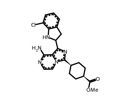 COC(=O)[C@H]1CC[C@@H](c2nc(C3Cc4cccc(Cl)c4N3)c3c(N)nccn32)CC1